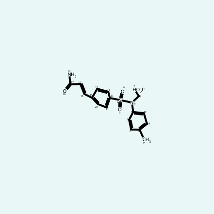 Cc1ccc(N(CC(=O)O)S(=O)(=O)c2ccc(/C=C/C(N)=O)cc2)cc1